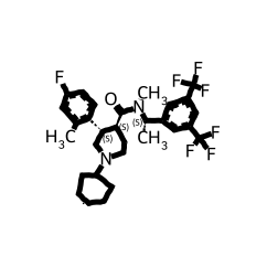 Cc1cc(F)ccc1[C@H]1CN(C2CC[CH]CC2)CC[C@@H]1C(=O)N(C)[C@@H](C)c1cc(C(F)(F)F)cc(C(F)(F)F)c1